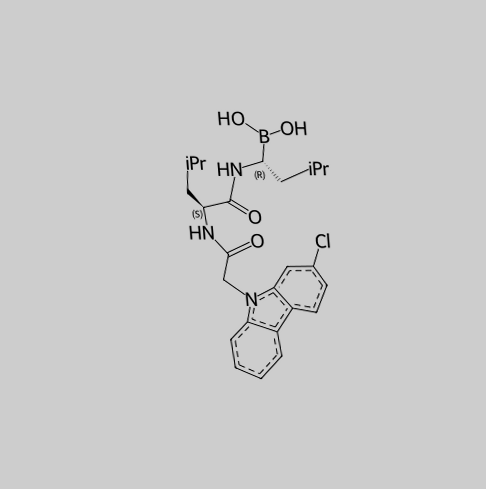 CC(C)C[C@H](NC(=O)[C@H](CC(C)C)NC(=O)Cn1c2ccccc2c2ccc(Cl)cc21)B(O)O